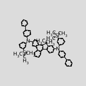 CC1(C)c2cc(N(c3ccc(-c4ccccc4)cc3)c3cccc([Si](C)(C)C)c3)ccc2-c2c1c1ccc(N(c3ccc(-c4ccccc4)cc3)c3cccc([Si](C)(C)C)c3)cc1c1ccccc21